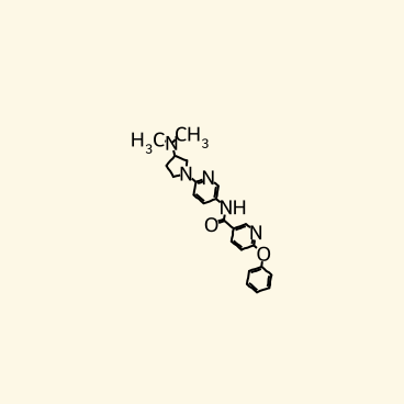 CN(C)C1CCN(c2ccc(NC(=O)c3ccc(Oc4ccccc4)nc3)cn2)C1